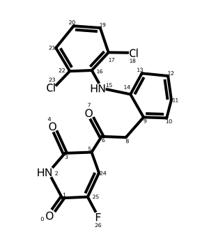 O=C1NC(=O)C(C(=O)Cc2ccccc2Nc2c(Cl)cccc2Cl)C=C1F